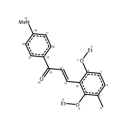 CCOc1ccc(C)c(OCC)c1C=CC(=O)c1ccc(NC)cc1